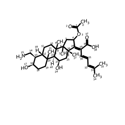 CC(=O)OC1CC2(C)C3(C)CC[C@H]4[C@H](CN)[C@H](O)CCC4(C)[C@@H]3[C@H](O)C[C@@]2(C)/C1=C(\C=C\C=C(C)C)C(=O)O